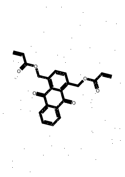 C=CC(=O)OCc1ccc(COC(=O)C=C)c2c1C(=O)c1ccccc1C2=O